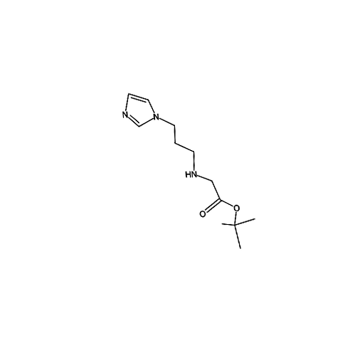 CC(C)(C)OC(=O)CNCCCn1ccnc1